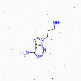 [NH]CCCn1cnc2c(N)ncnc21